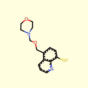 Sc1ccc(COCN2CCOCC2)c2cccnc12